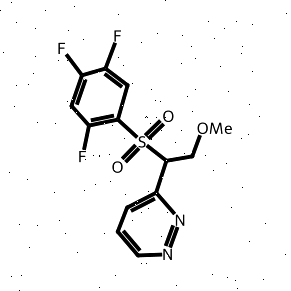 COCC(c1cccnn1)S(=O)(=O)c1cc(F)c(F)cc1F